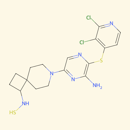 Nc1nc(N2CCC3(CCC3NS)CC2)cnc1Sc1ccnc(Cl)c1Cl